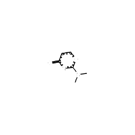 CN(C)c1nc(=O)cco1